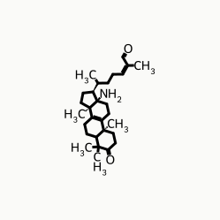 C/C(C=O)=C/CCC(C)[C@@H]1CC[C@]2(C)C3=C(CC[C@@]12N)[C@@]1(C)CCC(=O)C(C)(C)C1CC3